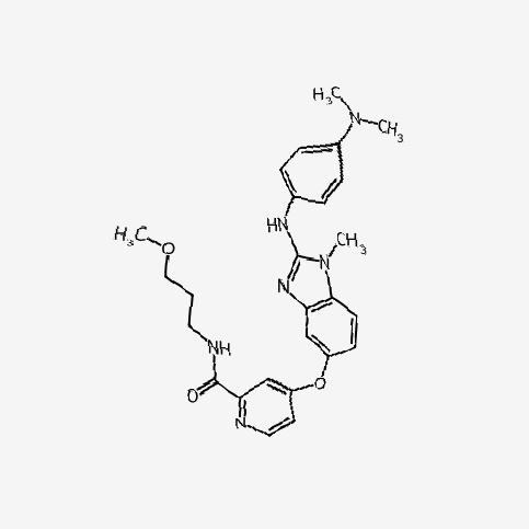 COCCCNC(=O)c1cc(Oc2ccc3c(c2)nc(Nc2ccc(N(C)C)cc2)n3C)ccn1